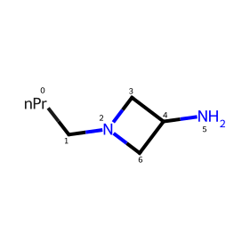 CCCCN1CC(N)C1